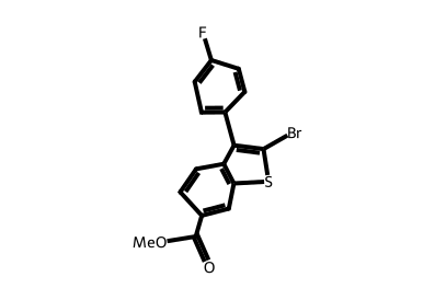 COC(=O)c1ccc2c(-c3ccc(F)cc3)c(Br)sc2c1